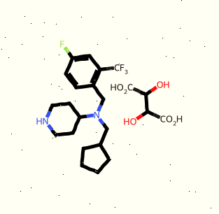 Fc1ccc(CN(CC2CCCC2)C2CCNCC2)c(C(F)(F)F)c1.O=C(O)C(O)C(O)C(=O)O